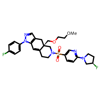 COCCOC[C@]12Cc3cnn(-c4ccc(F)cc4)c3C=C1CCN(S(=O)(=O)c1ccc(N3CC[C@@H](F)C3)nc1)C2